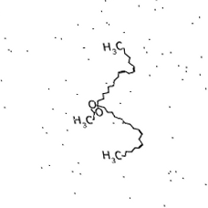 CCCCC/C=C\C/C=C\CCCCCCCCC1(CCCCCCCC/C=C\C/C=C\CCCCC)OCC(CC)O1